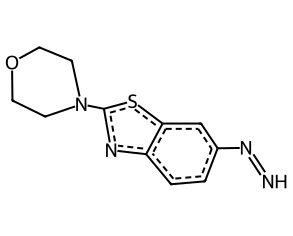 N=Nc1ccc2nc(N3CCOCC3)sc2c1